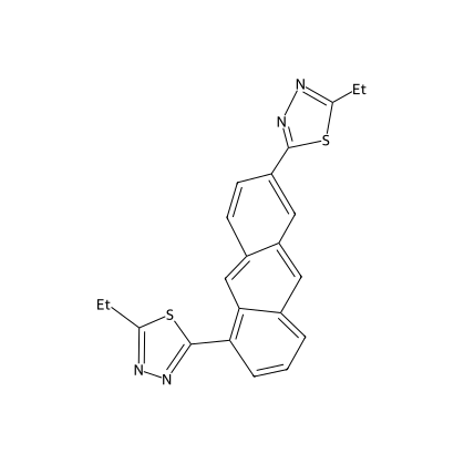 CCc1nnc(-c2ccc3cc4c(-c5nnc(CC)s5)cccc4cc3c2)s1